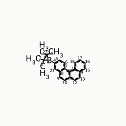 CC1(C)B(c2ccc3c(ccc4ccc5ccccc5c43)c2)C1(C)C